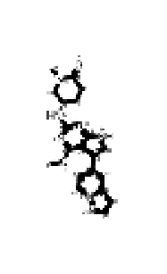 COc1nc(N[C@H]2CCC(=O)N(C)C2)nc2[nH]cc(-c3ccn4nccc4c3)c12